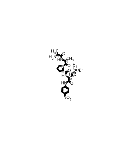 CC(C)C[C@H](NC(=O)[C@@H]1CCCN1C(=O)[C@H](C)NC(=O)[C@H](C)N)C(=O)Nc1ccc([N+](=O)[O-])cc1.C[S+](C)[O-]